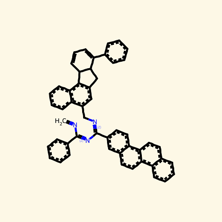 C=N/C(=N\C(=N/Cc1cc2c(c3ccccc13)C1C=CC=C(c3ccccc3)C1C2)c1ccc2c(ccc3c4ccccc4ccc23)c1)c1ccccc1